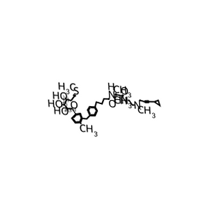 CS#CC1O[C@@H](c2ccc(C)c(Cc3ccc(CCCC(=O)NC(C)(C)C(=O)NCCN(C)CC#CC4CC4)cc3)c2)[C@H](O)[C@@H](O)[C@@H]1O